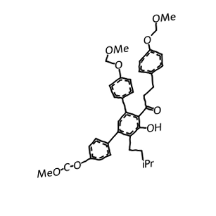 COCOc1ccc(CCC(=O)c2c(-c3ccc(OCOC)cc3)cc(-c3ccc(OCOC)cc3)c(CCC(C)C)c2O)cc1